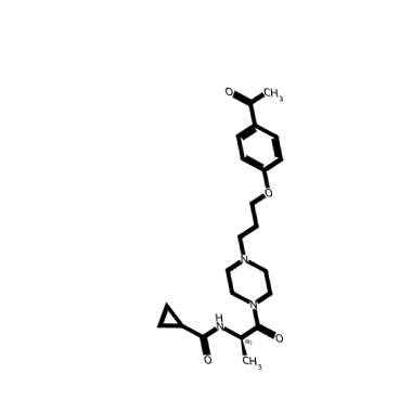 CC(=O)c1ccc(OCCCN2CCN(C(=O)[C@@H](C)NC(=O)C3CC3)CC2)cc1